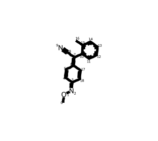 CON=C1C=CC(=C(C#N)c2ccccc2C)C=C1